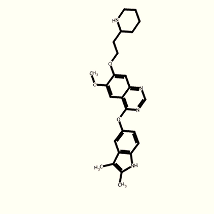 COc1cc2c(Oc3ccc4[nH]c(C)c(C)c4c3)ncnc2cc1OCCC1CCCCN1